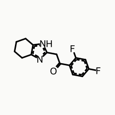 O=C(Cc1nc2c([nH]1)CCCC2)c1ccc(F)cc1F